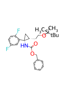 CC(C)(C)[Si](C)(C)OCC[C@H]1C[C@]1(NC(=O)OCc1ccccc1)c1cc(F)ccc1F